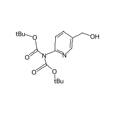 CC(C)(C)OC(=O)N(C(=O)OC(C)(C)C)c1ccc(CO)cn1